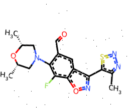 Cc1nnsc1-c1noc2c(F)c(N3C[C@@H](C)O[C@@H](C)C3)c(C=O)cc12